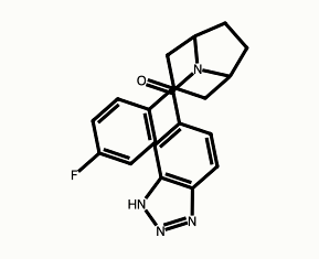 O=C(c1ccc2nn[nH]c2c1)N1C2CCC1CC(c1ccc(F)cc1)C2